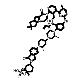 C=CC(=O)Nc1cc(Nc2ncc(C)c(-c3ccnc(N4CCn5c(cc6c5CC(C)(C)C6)C4=O)c3CO)n2)ccc1N1CCN(C2CCN(c3ccc4c(c3)CN(C3CCC(C)(OP(=O)(O)O)CC3)C4=O)[C@@H](C)C2)C[C@@H]1C